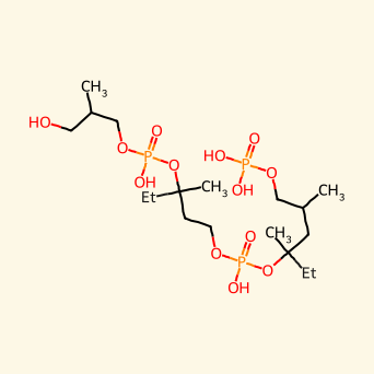 CCC(C)(CCOP(=O)(O)OC(C)(CC)CC(C)COP(=O)(O)O)OP(=O)(O)OCC(C)CO